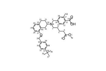 COC(=O)CCCCN(Cc1ccc(C(=O)O)c(C)c1)C1CCc2cccc(OCc3ccc(C(C)(C)C)cc3)c2C1